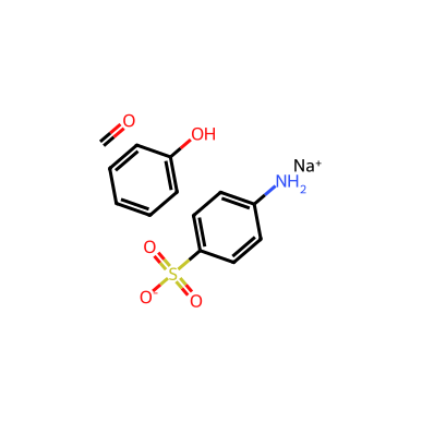 C=O.Nc1ccc(S(=O)(=O)[O-])cc1.Oc1ccccc1.[Na+]